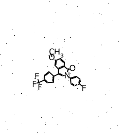 COc1ccc2c(=O)n(-c3ccc(F)cc3)cc(-c3ccc(C(F)(F)F)cc3)c2c1